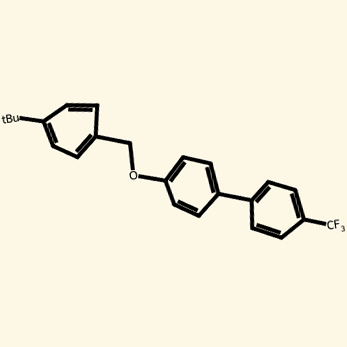 CC(C)(C)c1ccc(COc2ccc(-c3ccc(C(F)(F)F)cc3)cc2)cc1